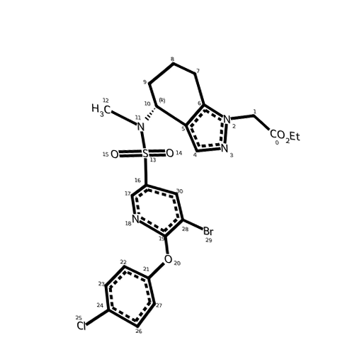 CCOC(=O)Cn1ncc2c1CCC[C@H]2N(C)S(=O)(=O)c1cnc(Oc2ccc(Cl)cc2)c(Br)c1